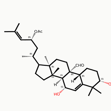 CC(=O)O[C@@H](C=C(C)C)C[C@@H](C)C1CC[C@@]2(C)[C@@H]3[C@@H](O)C=C4[C@@H](CC[C@H](O)C4(C)C)[C@]3(C=O)CC[C@]12C